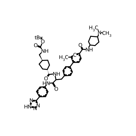 Cc1cc(C(=O)NC2CCC(N(C)C)CC2)ccc1-c1ccc(CC(NC(=O)[C@H]2CC[C@H](CNC(=O)OC(C)(C)C)CC2)C(=O)Nc2ccc(-c3nn[nH]n3)cc2)cc1